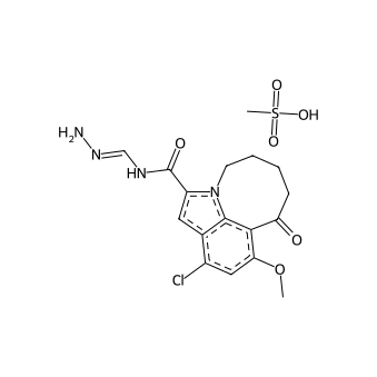 COc1cc(Cl)c2cc(C(=O)NC=NN)n3c2c1C(=O)CCCC3.CS(=O)(=O)O